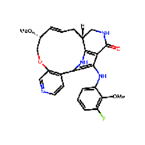 COc1c(F)cccc1Nc1c2[nH]c3c1C(=O)NC[C@H]3C/C=C/[C@@H](OC)COc1cnccc1-2